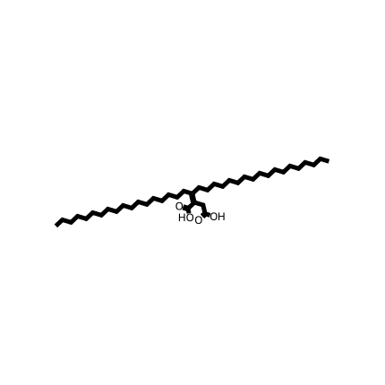 CCCCCCCCCCCCCCCCCCC(CCCCCCCCCCCCCCCCCC)=C(CC(=O)O)C(=O)O